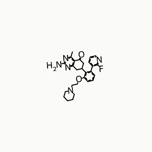 Cc1nc(N)nc2c1C(=O)CC(c1c(OCCN3CCCCC3)cccc1-c1cccnc1F)C2